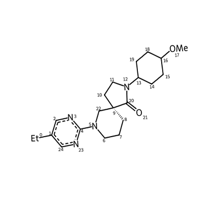 CCc1cnc(N2CCC[C@@]3(CCN(C4CCC(OC)CC4)C3=O)C2)nc1